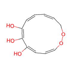 OC1=CC=COOCC=CC=CC(O)=C1O